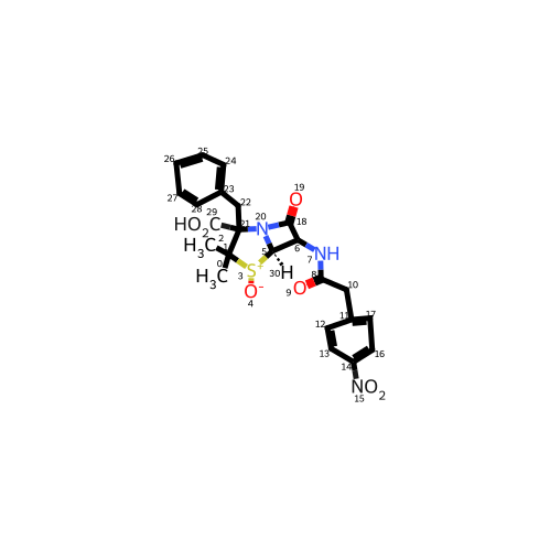 CC1(C)[S+]([O-])[C@@H]2C(NC(=O)Cc3ccc([N+](=O)[O-])cc3)C(=O)N2C1(Cc1ccccc1)C(=O)O